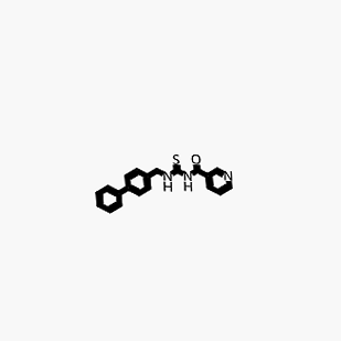 O=C(NC(=S)NCc1ccc(-c2ccccc2)cc1)c1cccnc1